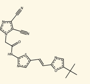 CC(C)(C)c1cnc(/C=C/c2cnc(NC(=O)Cn3cnc(C#N)c3C#N)s2)o1